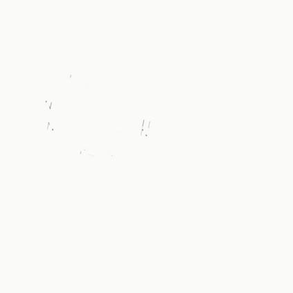 Cc1nn(-c2ccccc2)c(C)c1CC(=O)NCc1ccc(-c2ccccc2)cc1